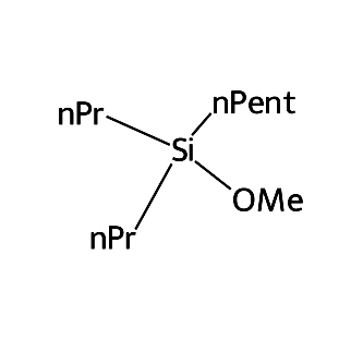 CCCCC[Si](CCC)(CCC)OC